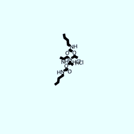 CCCCNC(=O)OC(C)N(CC(C)N)C(C)OC(=O)NCCCC.Cl.Cl